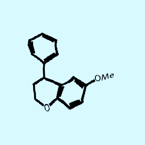 COc1ccc2c(c1)C(c1ccccc1)CCO2